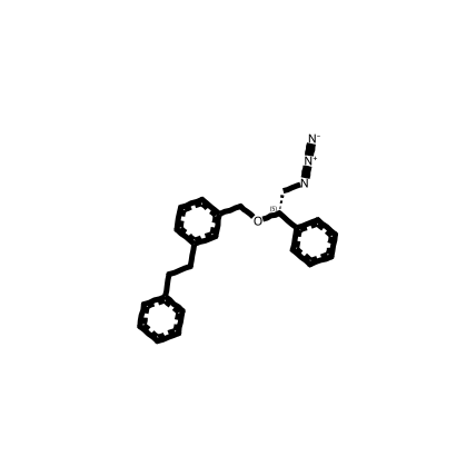 [N-]=[N+]=NC[C@@H](OCc1cccc(CCc2ccccc2)c1)c1ccccc1